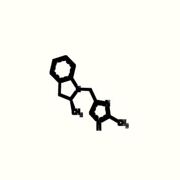 Cc1nc(CN2c3ccccc3C[C@@H]2C)c[nH]1